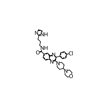 O=C(NCCCc1ncc[nH]1)c1ccc2nc(N3CCC(N4CCOCC4)CC3)c(-c3ccc(Cl)cc3)nc2c1